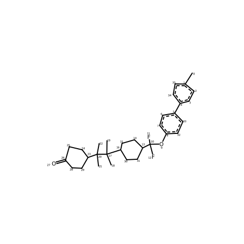 Cc1ccc(-c2ccc(OC(F)(F)C3CCC(C(C)(C)C(C)(C)C4CCC(=O)CC4)CC3)cc2)cc1